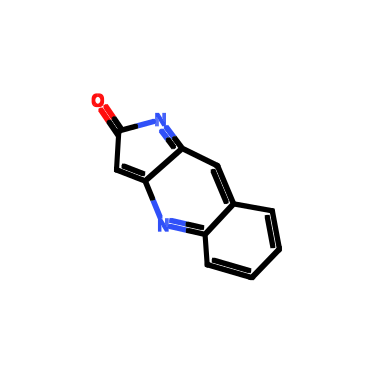 O=C1C=c2nc3ccccc3cc2=N1